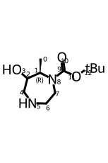 C[C@@H]1C(O)CNCCN1C(=O)OC(C)(C)C